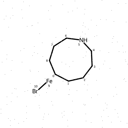 C1CCCCNCCC1.[Fe][Br]